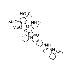 COc1ccc([C@H](CC(=O)O)NC(=O)[C@H](CC2CC2)N2C(=O)N(Cc3ccc(NC(=O)Nc4ccccc4C)cc3)C3(CCCCC3)C2=O)cc1OC